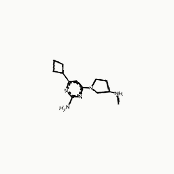 CN[C@@H]1CCN(c2cc(C3CCC3)nc(N)n2)C1